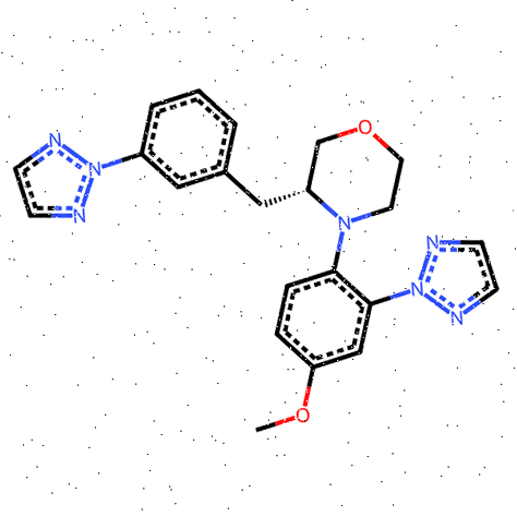 COc1ccc(N2CCOC[C@H]2Cc2cccc(-n3nccn3)c2)c(-n2nccn2)c1